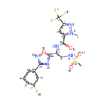 Cn1nc(C(F)(F)F)cc1C(=O)NC(CNS(C)(=O)=O)c1nc(-c2cccc(F)c2)no1